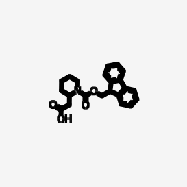 O=C(O)CC1CCCCN1C(=O)OCC1c2ccccc2-c2ccccc21